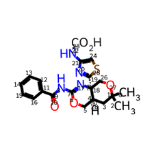 CC1(C)C[C@H]2COC(NC(=O)c3ccccc3)=N[C@@]2(c2nc(NC(=O)O)cs2)CO1